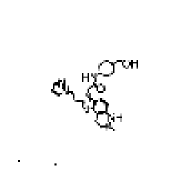 C[C@H]1CCc2c(ccc3c2nc(CCn2cccn2)n3CC(=O)NC2CCC(CO)CC2)N1